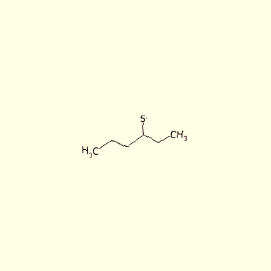 CCCC([S])CC